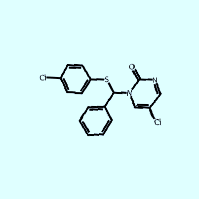 O=c1ncc(Cl)cn1C(Sc1ccc(Cl)cc1)c1ccccc1